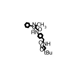 Cc1nc(-c2ccccc2)sc1C(=O)Nc1ccc(CC(=O)Nc2cc(C(C)(C)C)on2)cc1